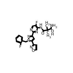 CC(C)(C(=O)Nc1nc(-c2cc(-c3ccon3)n(Cc3ccccc3F)n2)ncc1F)C(N)O